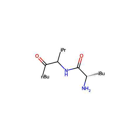 CCCCC(=O)C(NC(=O)[C@@H](N)C(C)CC)C(C)C